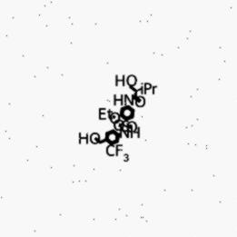 CCOc1cc(NC(=O)[C@@H](CO)C(C)C)ccc1S(=O)(=O)Nc1ccc(CO)c(C(F)(F)F)c1